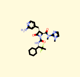 CN(C(=O)[C@@H]1[C@@H](Cc2ccnc(N)c2)C(=O)N1C(=O)N[C@@H](C1CCCCC1)C(C)(F)F)c1nccn1C